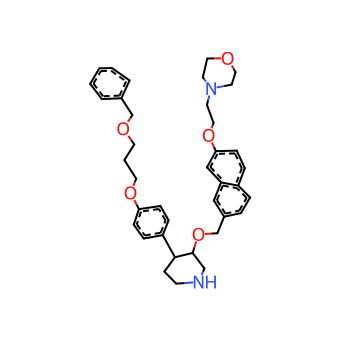 c1ccc(COCCCOc2ccc(C3CCNCC3OCc3ccc4ccc(OCCN5CCOCC5)cc4c3)cc2)cc1